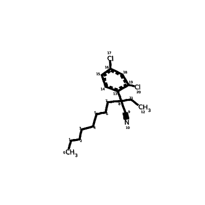 CCCCCCCCC(C#N)(CC)c1ccc(Cl)cc1Cl